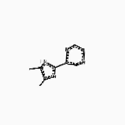 Cc1nc(-c2cnccn2)[nH]c1C